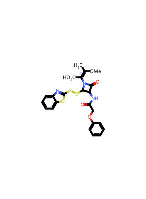 CO/C(C)=C(/C(=O)O)N1C(=O)C(NC(=O)COc2ccccc2)C1SSc1nc2ccccc2s1